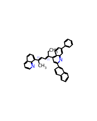 CC/C(=C\C=C(/C)c1cccc2cccnc12)c1cc(-c2ccc3ccccc3c2)nc2cc(-c3ccccc3)ccc12